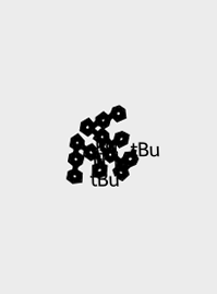 CC(C)(C)c1ccc2c3ccc(C(C)(C)C)cc3n(-c3cc4c5c(c3)N(c3ccccc3)c3ccc(-c6ccccc6-c6ccc(-c7ccccc7)cc6)cc3B5c3cc(-c5ccccc5-c5ccc(-c6ccccc6)cc5)ccc3N4c3ccccc3)c2c1